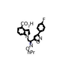 CCCO/N=C(\Cn1ccc2c(C(=O)O)cccc21)c1cc(-c2ccc(F)cc2)no1